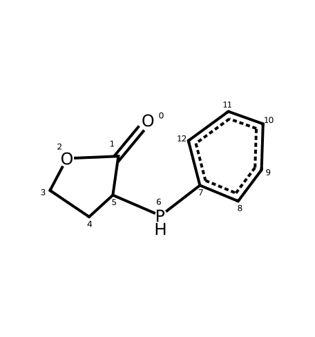 O=C1OCCC1Pc1ccccc1